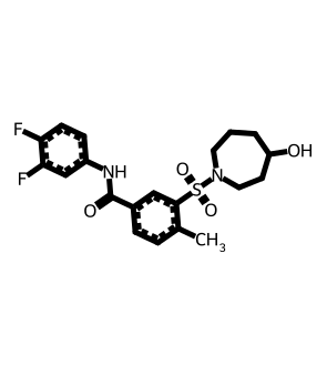 Cc1ccc(C(=O)Nc2ccc(F)c(F)c2)cc1S(=O)(=O)N1CCCC(O)CC1